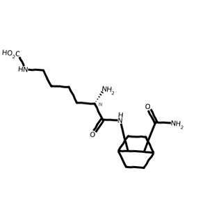 NC(=O)C1C2CCC(CC2)C1NC(=O)[C@@H](N)CCCCNC(=O)O